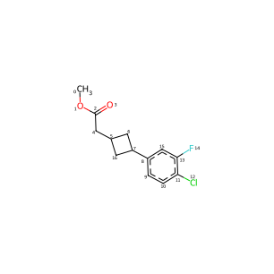 COC(=O)CC1CC(c2ccc(Cl)c(F)c2)C1